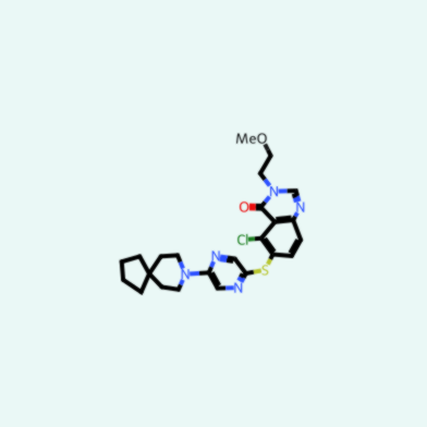 COCCn1cnc2ccc(Sc3cnc(N4CCC5(CCCC5)CC4)cn3)c(Cl)c2c1=O